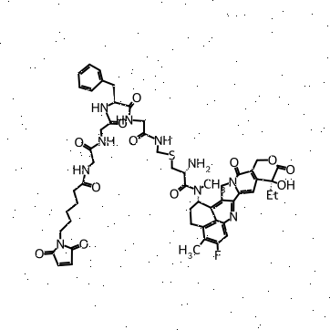 CC[C@@]1(O)C(=O)OCc2c1cc1n(c2=O)Cc2c-1nc1cc(F)c(C)c3c1c2[C@@H](N(C)C(=O)[C@@H](N)CSCNC(=O)CNC(=O)[C@H](Cc1ccccc1)NC(=O)CNC(=O)CNC(=O)CCCCCN1C(=O)C=CC1=O)CC3